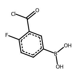 O=C(Cl)c1cc(B(O)O)ccc1F